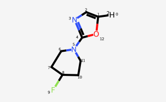 [2H]c1cnc(N2CCC(F)CC2)o1